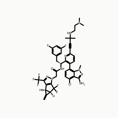 C=C1[C@@H]2c3c(C(F)(F)F)nn(CC(=O)N[C@@H](Cc4cc(F)cc(F)c4)c4nc(C#CC(C)(C)NCCN(C)C)ccc4-c4ccc(Cl)c5c(N)nn(C)c45)c3C(F)(F)[C@H]12